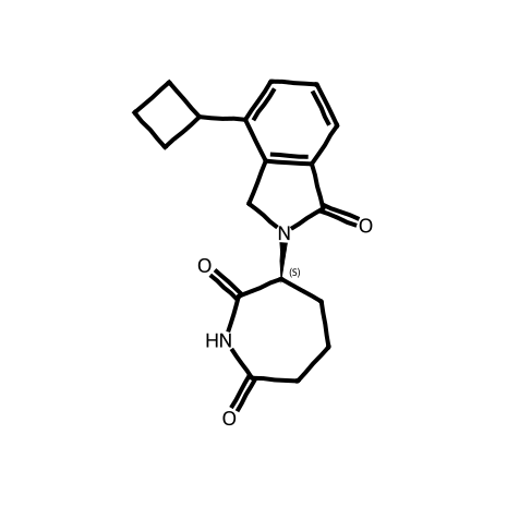 O=C1CCC[C@H](N2Cc3c(cccc3C3CCC3)C2=O)C(=O)N1